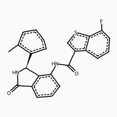 Cc1ccccc1[C@@H]1NC(=O)c2cccc(NC(=O)c3csc4c(F)cccc34)c21